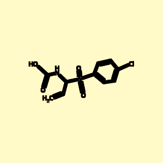 C=CC(NC(=O)O)S(=O)(=O)c1ccc(Cl)cc1